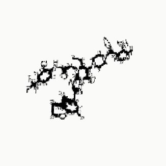 CCc1c(N2CCN(C(=O)c3ncnc(C)c3O)CC2)c(=O)n2nc(-c3cc(C)c4c(c3)CCO4)nc2n1CC(=O)Nc1ccc(C(F)(F)F)cc1Cl